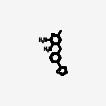 Cc1cc(Cc2cccc(-c3ccco3)c2)c(N)c(N)n1